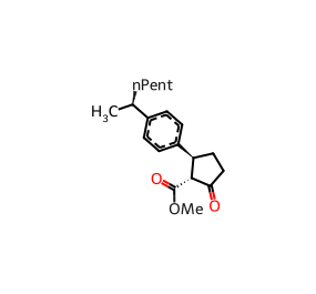 CCCCC[C@H](C)c1ccc([C@H]2CCC(=O)[C@@H]2C(=O)OC)cc1